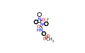 CS(=O)(=O)c1ccc(NCC(=O)N(c2cccc(F)c2)C2C(=O)N(C3CCCCC3)c3ccccc32)cc1